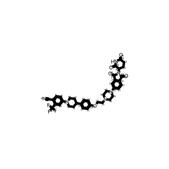 N#Cc1ccc(N2CCC(c3ccc(OCCN4CCN(c5ccc6c(c5)C(=O)N(C5CCC(=O)NC5=O)C6=O)CC4)cc3)CC2)cc1C(F)(F)F